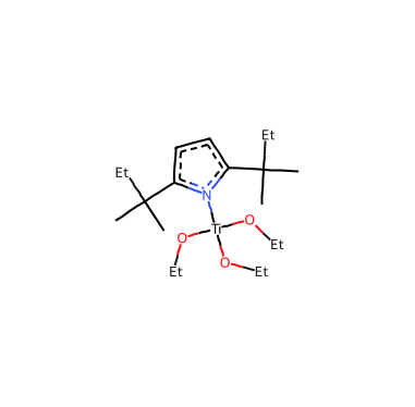 CC[O][Ti]([O]CC)([O]CC)[n]1c(C(C)(C)CC)ccc1C(C)(C)CC